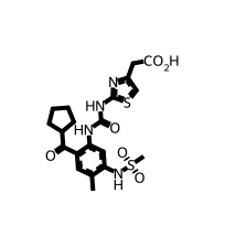 Cc1cc(C(=O)C2CCCC2)c(NC(=O)Nc2nc(CC(=O)O)cs2)cc1NS(C)(=O)=O